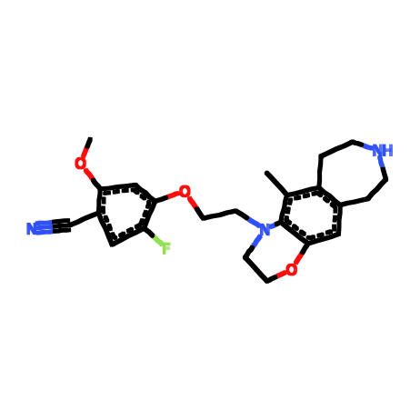 COc1cc(OCCN2CCOc3cc4c(c(C)c32)CCNCC4)c(F)cc1C#N